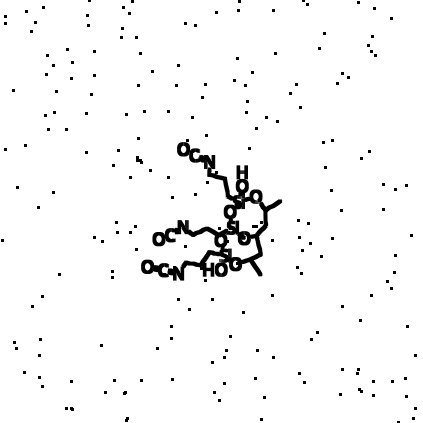 CC1CC2CC(C)O[Si](O)(CCCN=C=O)O[Si](CCCN=C=O)(O2)O[Si](O)(CCCN=C=O)O1